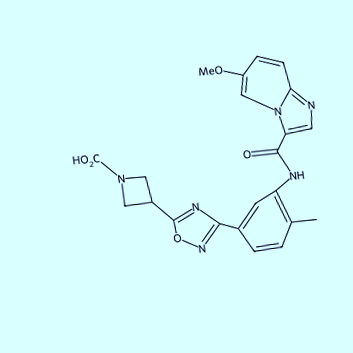 COc1ccc2ncc(C(=O)Nc3cc(-c4noc(C5CN(C(=O)O)C5)n4)ccc3C)n2c1